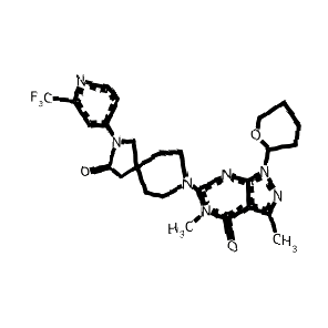 Cc1nn(C2CCCCO2)c2nc(N3CCC4(CC3)CC(=O)N(c3ccnc(C(F)(F)F)c3)C4)n(C)c(=O)c12